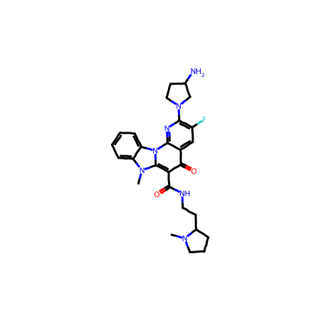 CN1CCCC1CCNC(=O)c1c(=O)c2cc(F)c(N3CCC(N)C3)nc2n2c3ccccc3n(C)c12